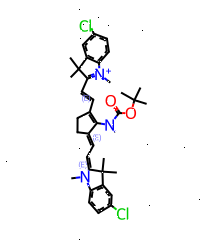 CN(C(=O)OC(C)(C)C)C1=C(/C=C/C2=[N+](C)c3ccc(Cl)cc3C2(C)C)CC/C1=C\C=C1\N(C)c2ccc(Cl)cc2C1(C)C